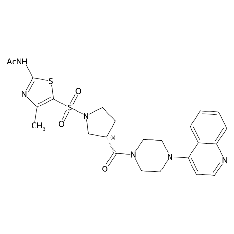 CC(=O)Nc1nc(C)c(S(=O)(=O)N2CC[C@H](C(=O)N3CCN(c4ccnc5ccccc45)CC3)C2)s1